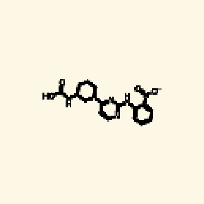 O=C(O)NC1CCCN(c2ccnc(Nc3ccccc3[N+](=O)[O-])n2)C1